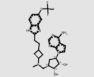 CN(C[C@H]1C[C@@H](n2ccc3c(N)ncnc32)[C@H](O)[C@@H]1O)C1CC(CCc2nc3cc(OC(F)(F)F)ccc3[nH]2)C1